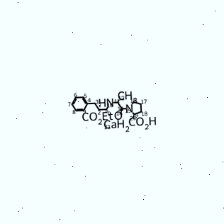 CCOC(=O)[C@H](CCc1ccccc1)N[C@@H](C)C(=O)N1CCC[C@H]1C(=O)O.[CaH2]